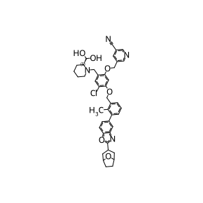 Cc1c(COc2cc(OCc3cncc(C#N)c3)c(CN3CCCC[C@H]3C(O)O)cc2Cl)cccc1-c1ccc2oc(C3CC4CCC(C3)O4)nc2c1